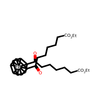 CCOC(=O)CCCCCC(=O)[C]12[CH]3[CH]4[CH]5[CH]1[Fe]45321678[CH]2[CH]1[CH]6[C]7(C(=O)CCCCCC(=O)OCC)[CH]28